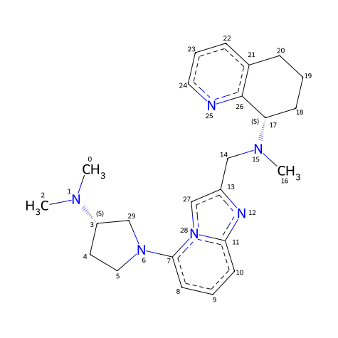 CN(C)[C@H]1CCN(c2cccc3nc(CN(C)[C@H]4CCCc5cccnc54)cn23)C1